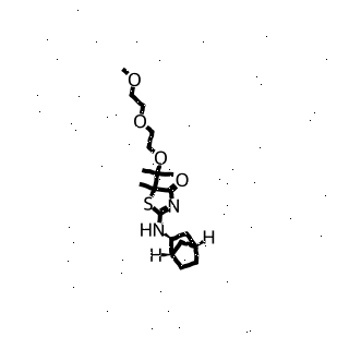 COCCOCCOC(C)(C)C1(C)SC(N[C@H]2C[C@@H]3CC[C@H]2C3)=NC1=O